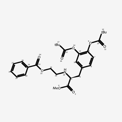 COC(=O)[C@H](Cc1ccc(OC(=O)C(C)(C)C)c(OC(=O)C(C)(C)C)c1)NCCOC(=O)c1ccccc1